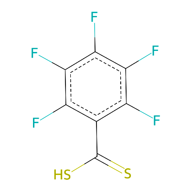 Fc1c(F)c(F)c(C(=S)S)c(F)c1F